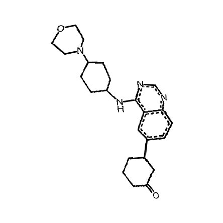 O=C1CCCC(c2ccc3ncnc(NC4CCC(N5CCOCC5)CC4)c3c2)C1